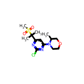 CC1COCCN1c1cc(C(C)(C)S(C)(=O)=O)nc(Cl)n1